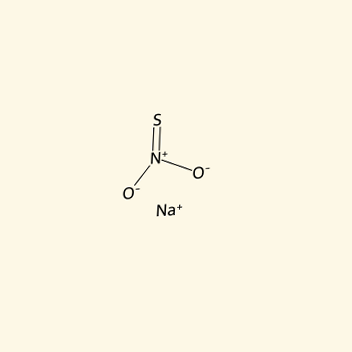 [Na+].[O-][N+]([O-])=S